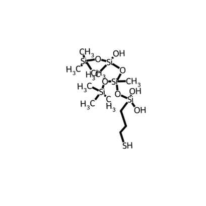 C[Si](C)(C)O[Si](C)(O)O[Si](C)(O[Si](C)(C)C)O[Si](O)(O)CCCS